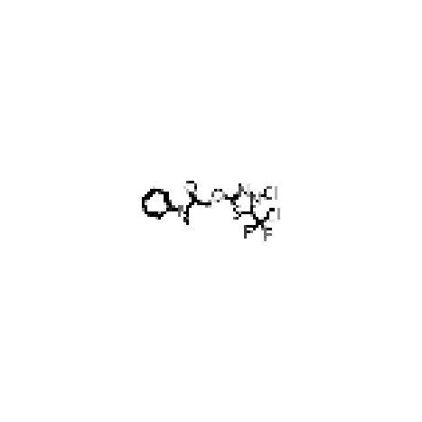 CN(C(=O)COC1=NN(Cl)C(C(F)(F)Cl)S1)c1ccccc1